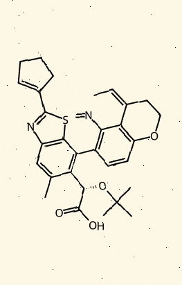 C=Nc1c(-c2c([C@H](OC(C)(C)C)C(=O)O)c(C)cc3nc(C4=CCCC4)sc23)ccc2c1/C(=C\C)CCO2